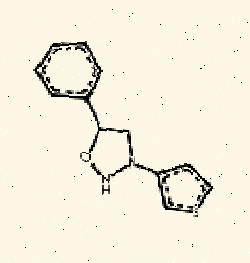 c1ccc(C2CN(c3ccsc3)NO2)cc1